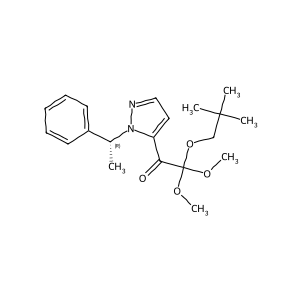 COC(OC)(OCC(C)(C)C)C(=O)c1ccnn1[C@H](C)c1ccccc1